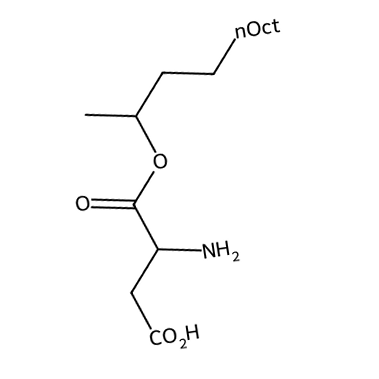 CCCCCCCCCCC(C)OC(=O)C(N)CC(=O)O